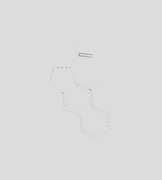 CC(=O)C1CCc2nc3ccccc3c(=O)n21